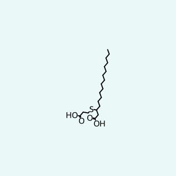 CCCCCCCCCCCCCCC(CC(=O)O)SCCC(=O)O